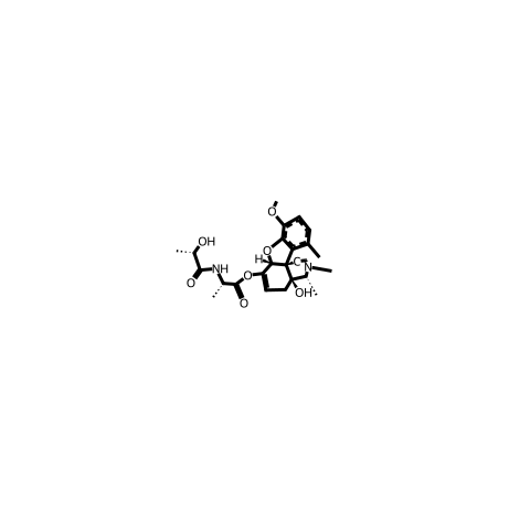 COc1ccc(C)c2c1O[C@H]1C(OC(=O)[C@H](C)NC(=O)[C@H](C)O)=CC[C@@]3(O)[C@@H](C)N(C)CC[C@]213